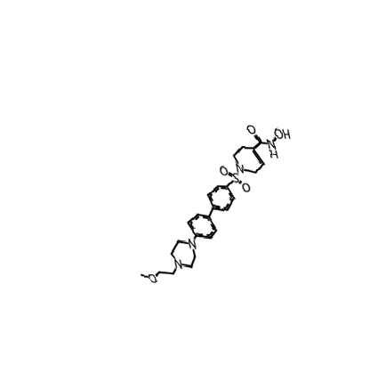 COCCN1CCN(c2ccc(-c3ccc(S(=O)(=O)N4CC=C(C(=O)NO)CC4)cc3)cc2)CC1